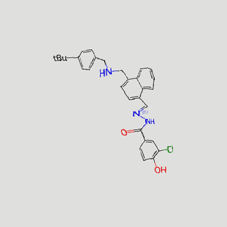 CC(C)(C)c1ccc(CNCc2ccc(/C=N/NC(=O)c3ccc(O)c(Cl)c3)c3ccccc23)cc1